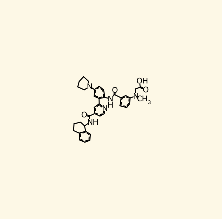 CN(CC(=O)O)c1cccc(C(=O)Nc2ccc(N3CCCCC3)cc2-c2cc(C(=O)NC3CCCc4ccccc43)ccn2)c1